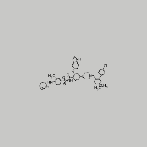 Cc1cc(S(=O)(=O)NC(=O)c2ccc(N3CCN(CC4=C(c5ccc(Cl)cc5)CC(C)(C)CC4)CC3)cc2Oc2ccc3[nH]ccc3c2)ccc1NC[C@H]1CCCOC1